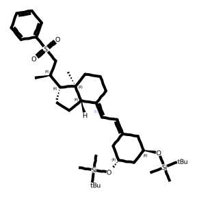 C[C@@H](CS(=O)(=O)c1ccccc1)[C@H]1CC[C@H]2/C(=C/C=C3C[C@@H](O[Si](C)(C)C(C)(C)C)C[C@H](O[Si](C)(C)C(C)(C)C)C3)CCC[C@]12C